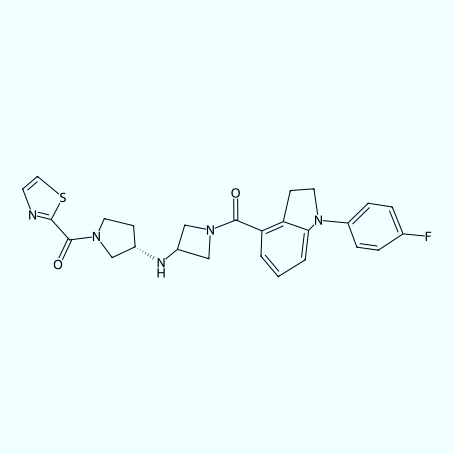 O=C(c1nccs1)N1CC[C@H](NC2CN(C(=O)c3cccc4c3CCN4c3ccc(F)cc3)C2)C1